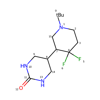 CC(C)(C)N1CCC(F)(F)C(C2CNC(=O)NC2)C1